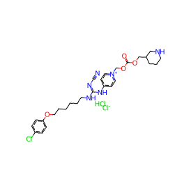 Cl.N#CN=C(NCCCCCCOc1ccc(Cl)cc1)Nc1cc[n+](COC(=O)OCC2CCCNC2)cc1.[Cl-]